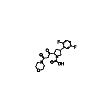 O=C(CC(=O)N1CCOCC1)C1CC(c2cc(F)ccc2F)CN1C(=O)O